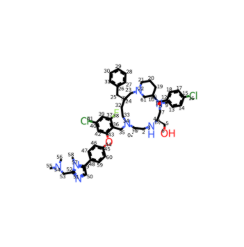 C[C@H]1CN[C@H](CO)CN(C)[C@@]2(Cc3ccc(Cl)cc3)CCCN(C[C@H](Cc3ccccc3)CCN1Cc1c(F)cc(Cl)cc1Oc1ccc(-c3cnc(CN(C)C)n3C)cc1)C2